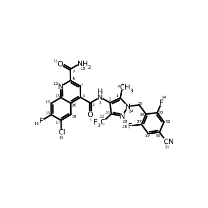 Cc1c(NC(=O)c2cc(C(N)=O)nc3cc(F)c(Cl)cc23)c(C(F)(F)F)nn1Cc1c(F)cc(C#N)cc1F